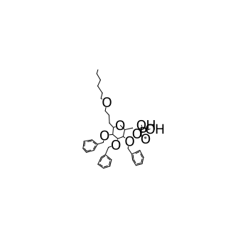 CCCCCCOCCCC1OC(COP(=O)(O)O)C(OCc2ccccc2)C(OCc2ccccc2)C1OCc1ccccc1